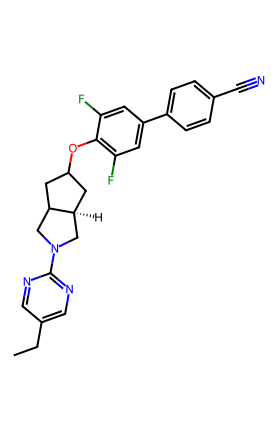 CCc1cnc(N2CC3CC(Oc4c(F)cc(-c5ccc(C#N)cc5)cc4F)C[C@H]3C2)nc1